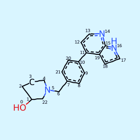 OC1CCCN(Cc2ccc(-c3ccnc4[nH]ccc34)cc2)C1